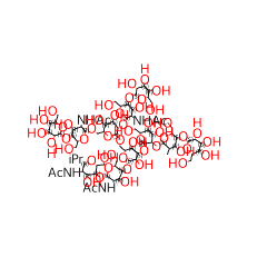 CC(=O)NC1[C@H](OCC2O[C@H](OCC3O[C@@H](O[C@@H]4C(CO)O[C@@H](O[C@@H]5C(CO)O[C@@H](C(C)C)C(NC(C)=O)[C@H]5O)C(NC(C)=O)[C@H]4O)C(O)[C@@H](O[C@H]4OC(CO)[C@@H](O)[C@H](O)C4O[C@@H]4OC(CO)[C@@H](O[C@@H]5OC(CO)[C@H](O)[C@H](O)C5O)[C@H](O)C4C)[C@@H]3O)C(O[C@@H]3OC(CO)[C@H](O[C@@H]4OC(CO)[C@H](O)[C@H](O)C4O)[C@H](O)C3NC(C)=O)[C@@H](O)[C@@H]2O)OC(CO)[C@@H](O[C@@H]2OC(CO)[C@H](O)[C@H](O)C2O)[C@@H]1O